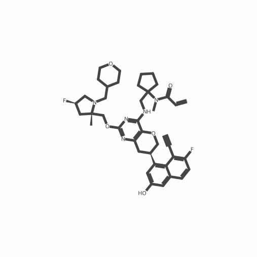 C#Cc1c(F)ccc2cc(O)cc([C@@H]3COc4c(nc(OC[C@]5(C)C[C@@H](F)CN5CC5CCOCC5)nc4NCC4(N(C)C(=O)C=C)CCCC4)C3)c12